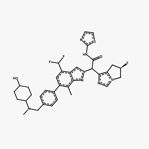 Cc1c(-c2ccc(CN(C)C3CCC(O)CC3)cc2)cc(C(F)F)c2cn(C(C(=O)Nc3nccs3)c3ncn4c3C[C@@H](F)C4)nc12